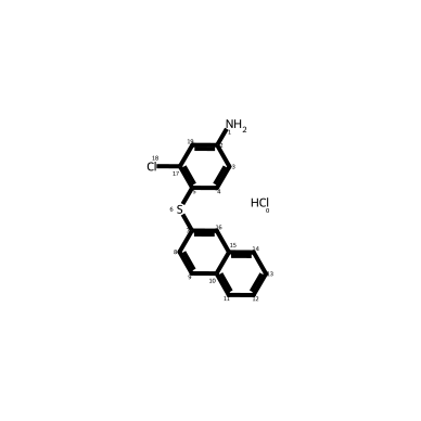 Cl.Nc1ccc(Sc2ccc3ccccc3c2)c(Cl)c1